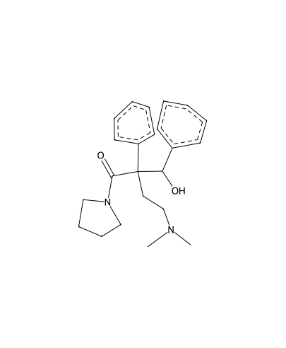 CN(C)CCC(C(=O)N1CCCC1)(c1ccccc1)C(O)c1ccccc1